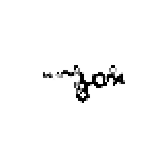 CNCCN(C)Cc1nn2c(c1C1=CCN(C(=O)C3(C)CC3)CC1)CCC2